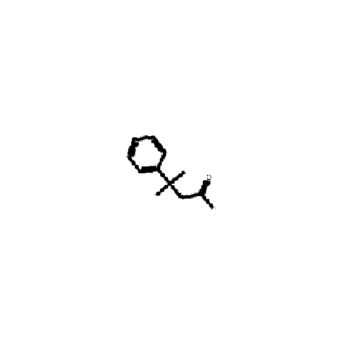 [CH2]C(=O)CC(C)(C)c1ccccc1